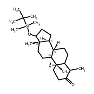 CC1C(=O)CC[C@@]2(C)C1CC[C@@H]1[C@@H]2CC[C@]2(C)C(O[Si](C)(C)C(C)(C)C)CC[C@@H]12